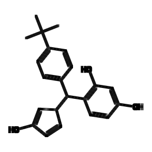 CC(C)(C)c1ccc(C(c2ccc(O)cc2O)C2C=CC(O)=C2)cc1